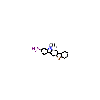 Cn1c2cc(P)ccc2c2cc3sc4ccccc4c3cc21